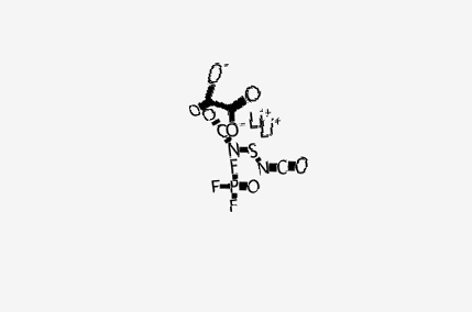 O=C([O-])C(=O)[O-].O=C=NSN=C=O.O=P(F)(F)F.[Li+].[Li+]